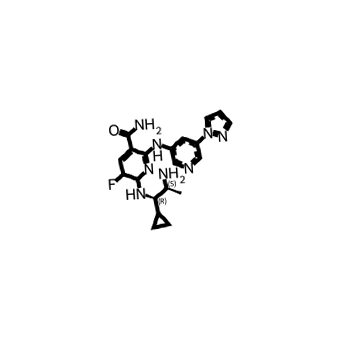 C[C@H](N)[C@H](NC1N=C(Nc2cncc(-n3cccn3)c2)C(C(N)=O)=CC1F)C1CC1